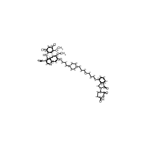 COc1cc(Nc2c(C#N)cnc3cc(OCCCN4CCN(CCCOCCCSc5cccc6c5CN(C5CCC(=O)NC5=O)C6=O)CC4)c(OC)cc23)c(Cl)cc1Cl